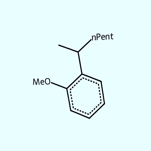 CCCCCC(C)c1ccccc1OC